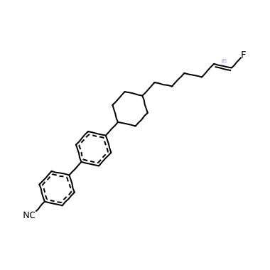 N#Cc1ccc(-c2ccc(C3CCC(CCCC/C=C/F)CC3)cc2)cc1